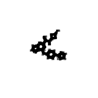 O=C(NC1CC(F)C1)c1cc(Cc2ccc(-c3nccs3)cc2)c2sccc2n1